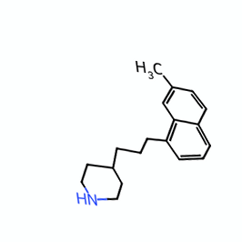 Cc1ccc2cccc(CCCC3CCNCC3)c2c1